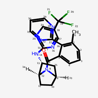 Cc1cccc(C(=O)N2[C@@H]3CC[C@H]2[C@H](Nc2ncc(C(F)(F)F)cn2)C3)c1-c1ncccn1